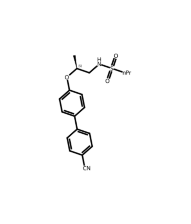 CCCS(=O)(=O)NC[C@H](C)Oc1ccc(-c2ccc(C#N)cc2)cc1